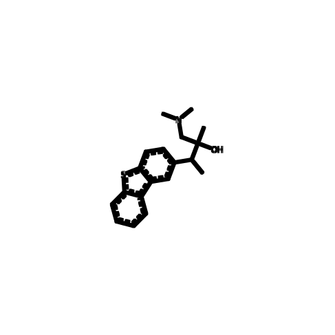 CC(c1ccc2sc3ccccc3c2c1)C(C)(O)CN(C)C